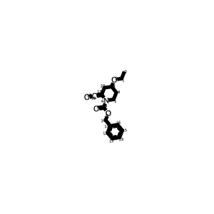 CCOC1CCN(C(=O)OCc2ccccc2)C(=C=O)C1